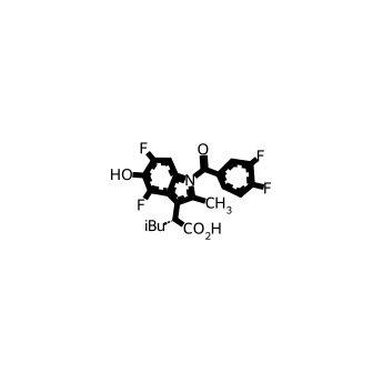 CCC(C)[C@@H](C(=O)O)c1c(C)n(C(=O)c2ccc(F)c(F)c2)c2cc(F)c(O)c(F)c12